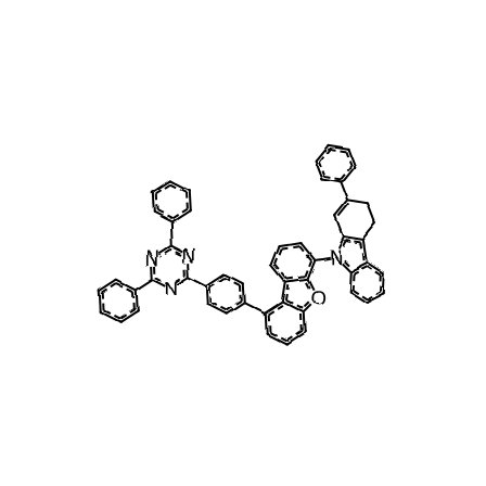 C1=C(c2ccccc2)CCc2c1n(-c1cccc3c1oc1cccc(-c4ccc(-c5nc(-c6ccccc6)nc(-c6ccccc6)n5)cc4)c13)c1ccccc21